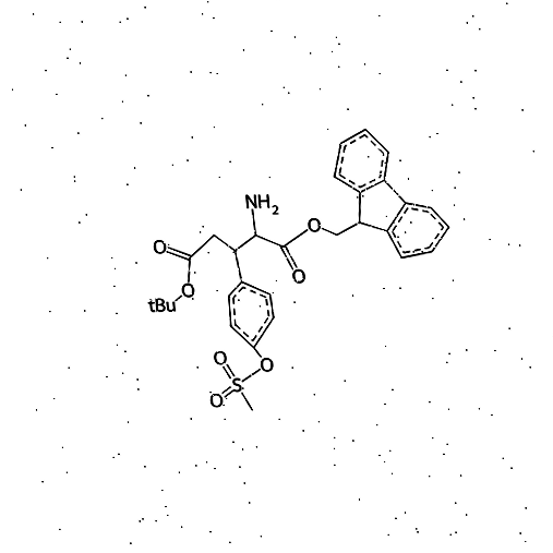 CC(C)(C)OC(=O)CC(c1ccc(OS(C)(=O)=O)cc1)C(N)C(=O)OCC1c2ccccc2-c2ccccc21